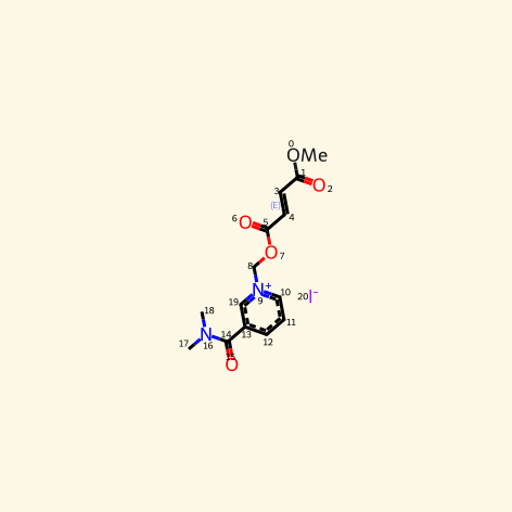 COC(=O)/C=C/C(=O)OC[n+]1cccc(C(=O)N(C)C)c1.[I-]